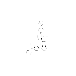 Cc1cc(-c2cccc3ncc(-c4c(C)nn(C5CCN(C(=O)OC(C)(C)C)CC5)c4C)nc23)ccc1CN1CCOCC1